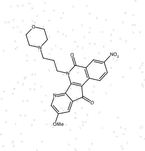 COc1cnc2c(c1)C(=O)c1c-2n(CCCN2CCOCC2)c(=O)c2cc([N+](=O)[O-])ccc12